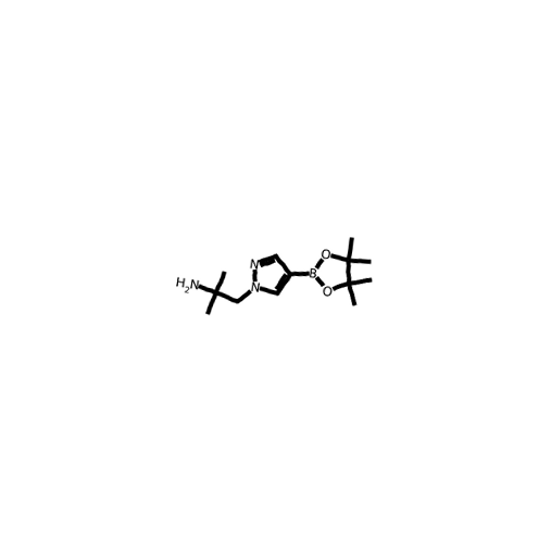 CC(C)(N)Cn1cc(B2OC(C)(C)C(C)(C)O2)cn1